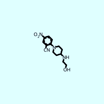 N#Cc1cc([N+](=O)[O-])ccc1N1CCC(NCCO)CC1